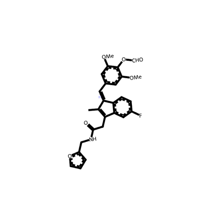 COc1cc(/C=C2/C(C)=C(CC(=O)NCc3ccco3)c3cc(F)ccc32)cc(OC)c1OC=O